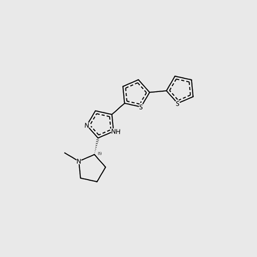 CN1CCC[C@H]1c1ncc(-c2ccc(-c3cccs3)s2)[nH]1